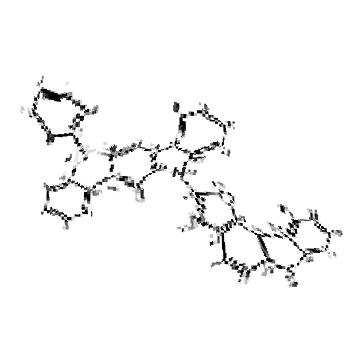 c1ccc(-n2c3ccccc3c3cc4c(cc32)c2ccccc2n4-c2nc3ccc4sc5ccccc5c4c3o2)cc1